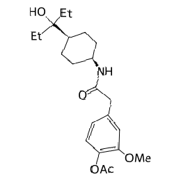 CCC(O)(CC)[C@H]1CC[C@@H](NC(=O)Cc2ccc(OC(C)=O)c(OC)c2)CC1